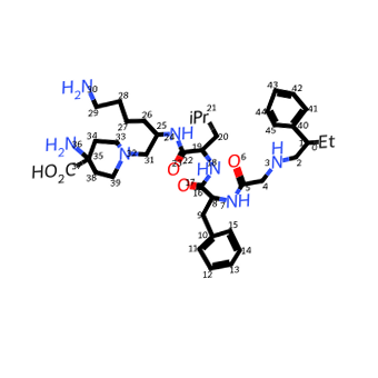 CCC(CNCC(=O)NC(Cc1ccccc1)C(=O)NC(CC(C)C)C(=O)NC(CCCCN)CN1CCC(N)(C(=O)O)CC1)c1ccccc1